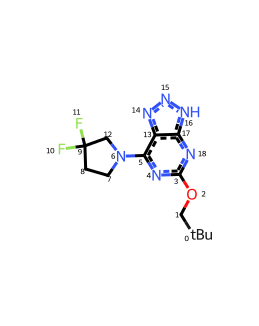 CC(C)(C)COc1nc(N2CCC(F)(F)C2)c2nn[nH]c2n1